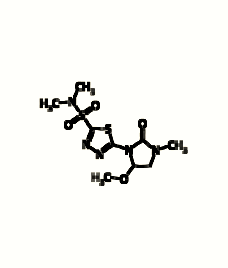 COC1CN(C)C(=O)N1c1nnc(S(=O)(=O)N(C)C)s1